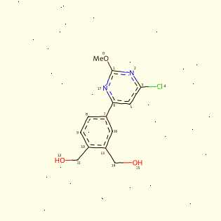 COc1nc(Cl)cc(-c2ccc(CO)c(CO)c2)n1